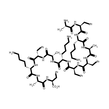 CC(C)C[C@H](NC(=O)[C@H](C)NC(=O)[C@H](CCCCN)NC(=O)[C@H](CC(C)C)NC(=O)[C@H](C)NC(=O)[C@H](CCCCN)NC(=O)[C@H](CC(C)C)NC(=O)[C@H](CC(C)C)NC(=O)[C@H](C)NC(=O)[C@H](CCCCN)NC(=O)[C@H](CC(C)C)NC(=O)[C@H](C)N)C(=O)O